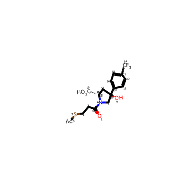 CC(=O)SCCC(=O)N1CC(O)(c2ccc(C(F)(F)F)cc2)C[C@H]1C(=O)O